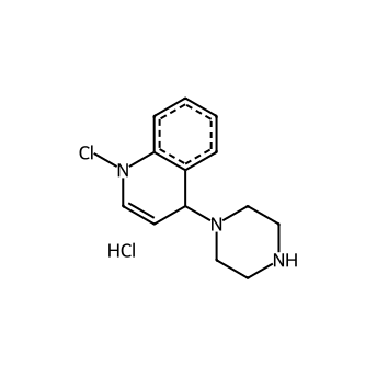 Cl.ClN1C=CC(N2CCNCC2)c2ccccc21